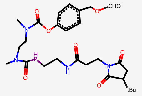 CN(CCN(C)C(=O)PCCNC(=O)CCN1C(=O)CC(C(C)(C)C)C1=O)C(=O)Oc1ccc(COC=O)cc1